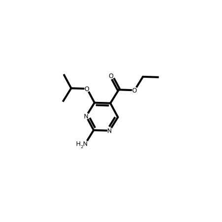 CCOC(=O)c1cnc(N)nc1OC(C)C